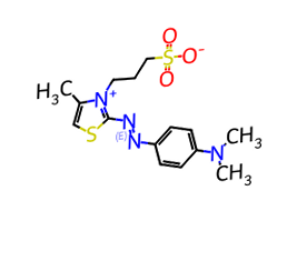 Cc1csc(/N=N/c2ccc(N(C)C)cc2)[n+]1CCCS(=O)(=O)[O-]